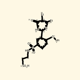 CCCOc1ccc(S(=O)(=O)NCCS(=O)(=O)O)cc1-c1nc(CC)c(CC)c(=O)[nH]1